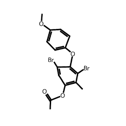 COc1ccc(Oc2c(Br)cc(OC(C)=O)c(C)c2Br)cc1